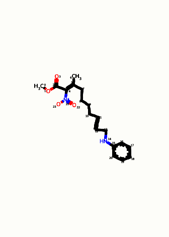 COC(=O)C(=C(C)CCCCC=CCNc1ccccc1)[N+](=O)[O-]